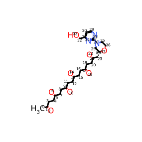 CC(=O)CCC(=O)CCC(=O)CCC(=O)CCC(=O)CCC(=O)C[C@@H]1CN(c2nccc(CO)n2)CCO1